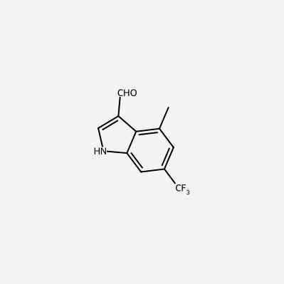 Cc1cc(C(F)(F)F)cc2[nH]cc(C=O)c12